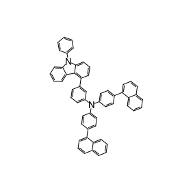 c1ccc(-n2c3ccccc3c3c(-c4cccc(N(c5ccc(-c6cccc7ccccc67)cc5)c5ccc(-c6cccc7ccccc67)cc5)c4)cccc32)cc1